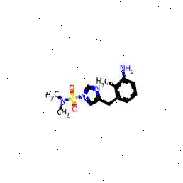 Cc1c(N)cccc1Cc1cn(S(=O)(=O)N(C)C)cn1